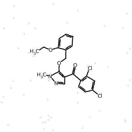 CCOc1ccccc1COc1c(C(=O)c2ccc(Cl)cc2Cl)cnn1C